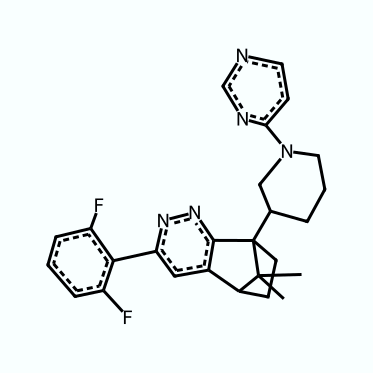 CC1(C)C2CCC1(C1CCCN(c3ccncn3)C1)c1nnc(-c3c(F)cccc3F)cc12